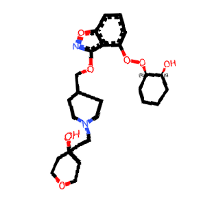 O[C@H]1CCCC[C@H]1OOc1cccc2onc(OCC3CCN(CC4(O)CCOCC4)CC3)c12